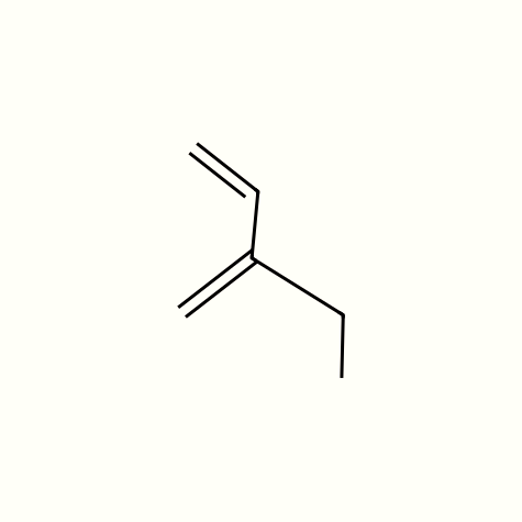 C=CC(=C)CC